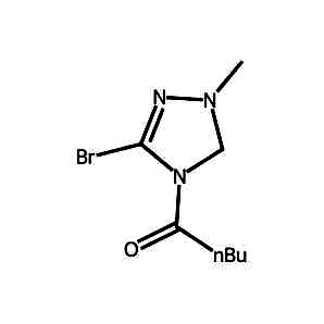 CCCCC(=O)N1CN(C)N=C1Br